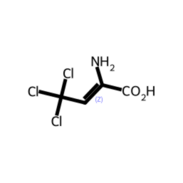 N/C(=C\C(Cl)(Cl)Cl)C(=O)O